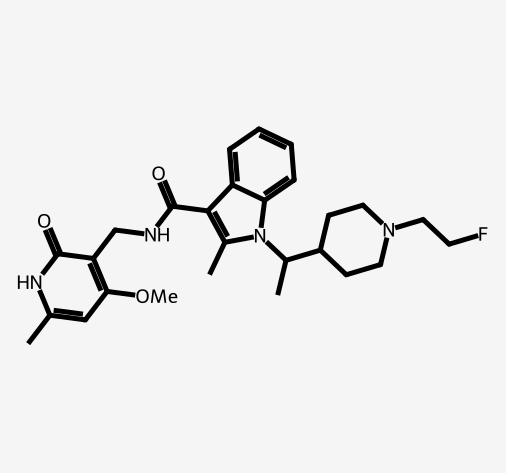 COc1cc(C)[nH]c(=O)c1CNC(=O)c1c(C)n(C(C)C2CCN(CCF)CC2)c2ccccc12